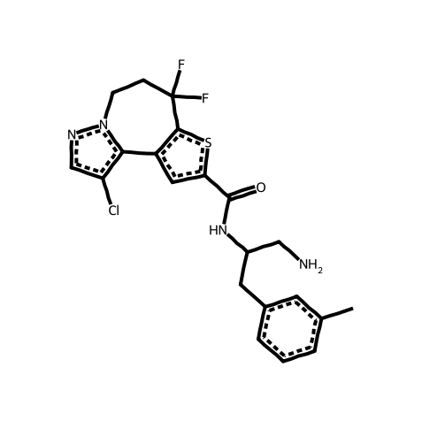 Cc1cccc(CC(CN)NC(=O)c2cc3c(s2)C(F)(F)CCn2ncc(Cl)c2-3)c1